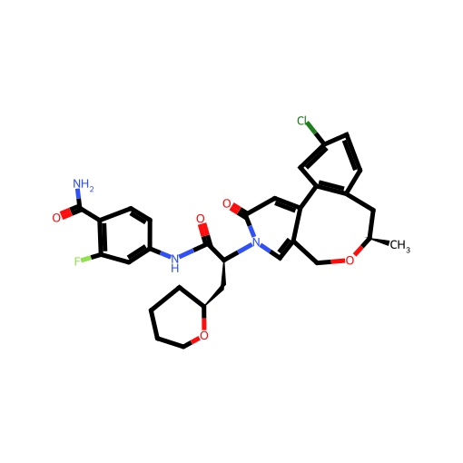 C[C@@H]1Cc2ccc(Cl)cc2-c2cc(=O)n([C@@H](C[C@@H]3CCCCO3)C(=O)Nc3ccc(C(N)=O)c(F)c3)cc2CO1